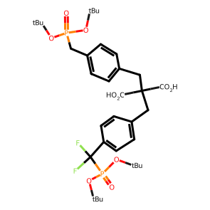 CC(C)(C)OP(=O)(Cc1ccc(CC(Cc2ccc(C(F)(F)P(=O)(OC(C)(C)C)OC(C)(C)C)cc2)(C(=O)O)C(=O)O)cc1)OC(C)(C)C